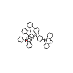 c1ccc(-n2c3ccccc3c3ccc4c(c32)-c2ccccc2C42c3ccccc3-c3ccc4c5cc(N6c7ccccc7Oc7ccccc76)ccc5n(-c5ccccc5)c4c32)cc1